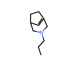 CCCN1CC2=CC(CC2)C1